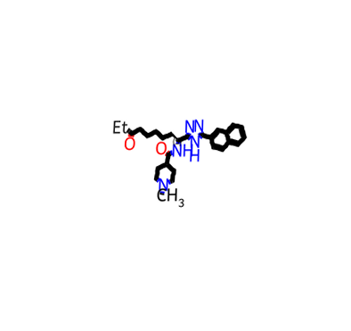 CCC(=O)CCCCC[C@H](NC(=O)C1CCN(C)CC1)c1nnc(-c2ccc3ccccc3c2)[nH]1